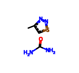 Cc1csnn1.NC(N)=O